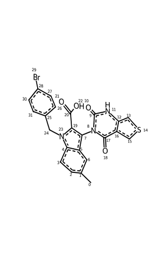 Cc1ccc2c(c1)c(-n1c(=O)[nH]c3cscc3c1=O)c(C(=O)O)n2Cc1ccc(Br)cc1